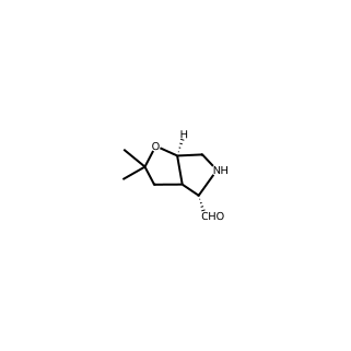 CC1(C)CC2[C@H](CN[C@@H]2C=O)O1